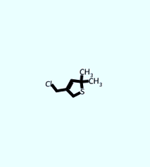 CC1(C)C=C(CCl)CS1